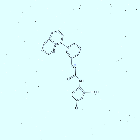 O=C(/C=C/c1cccc(-c2cccc3cccnc23)c1)Nc1ccc(Cl)cc1C(=O)O